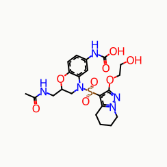 CC(=O)NCC1CN(S(=O)(=O)c2c(OCCO)nn3c2CCCC3)c2cc(NC(=O)O)ccc2O1